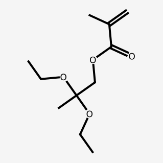 C=C(C)C(=O)OCC(C)(OCC)OCC